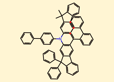 CC1(C)c2ccccc2-c2ccc(N(c3ccc(-c4ccccc4)cc3)c3cc4c(cc3-c3cc5ccccc5c5ccccc35)-c3ccccc3C4(c3ccccc3)c3ccccc3)cc21